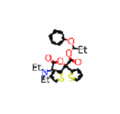 [CH2]CC(OC(=O)C(OC(=O)CN(CC)CC)(c1cccs1)c1cccs1)Oc1ccccc1